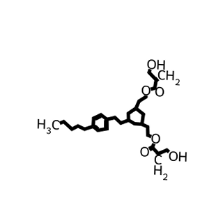 C=C(CO)C(=O)OCCC1CC(CCOC(=O)C(=C)CO)CC(CCc2ccc(CCCCC)cc2)C1